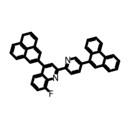 Fc1cccc2c(-c3cc4c5c(cccc5c3)CC=C4)cc(-c3ccc(-c4cc5ccccc5c5ccccc45)cn3)nc12